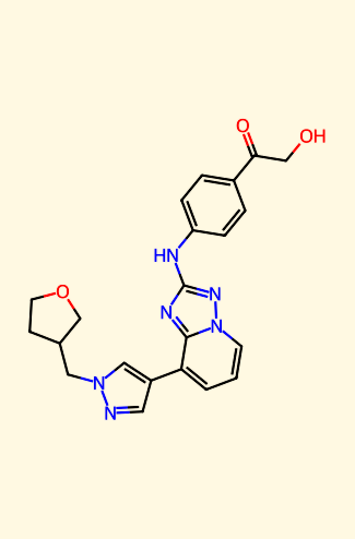 O=C(CO)c1ccc(Nc2nc3c(-c4cnn(CC5CCOC5)c4)cccn3n2)cc1